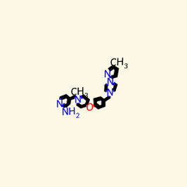 Cc1ccc(N2CCN(Cc3ccc(OC4CCN(C(C)c5ccnc(N)c5)CC4)cc3)CC2)nc1